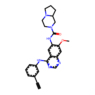 C#Cc1cccc(Nc2ncnc3cc(OC)c(NC(=O)N4CCN5CCCC5C4)cc23)c1